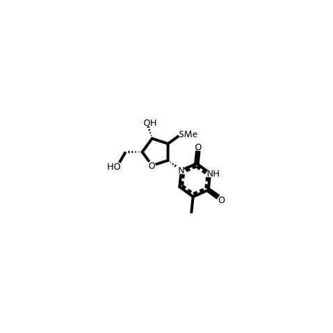 CSC1[C@@H](O)[C@@H](CO)O[C@H]1n1cc(C)c(=O)[nH]c1=O